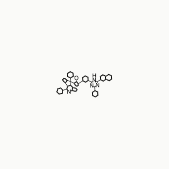 c1ccc(C2=NC(c3ccc4ccccc4c3)NC(c3cccc(-c4cccc5c4Oc4ccccc4C54c5ccccc5-c5c(-c6ccccc6)nc6ccccc6c54)c3)=N2)cc1